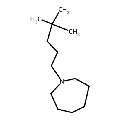 CC(C)(C)CCCN1CCCCCC1